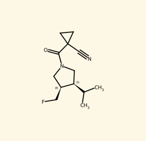 CC(C)[C@@H]1CN(C(=O)C2(C#N)CC2)C[C@@H]1CF